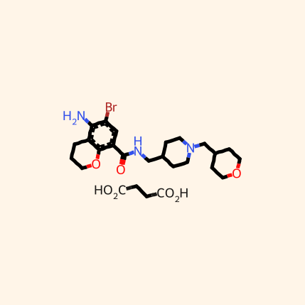 Nc1c(Br)cc(C(=O)NCC2CCN(CC3CCOCC3)CC2)c2c1CCCO2.O=C(O)CCC(=O)O